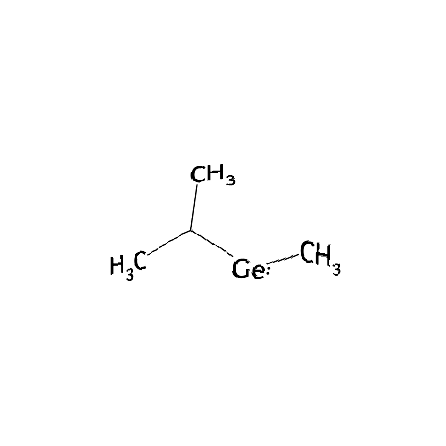 [CH3][Ge][CH](C)C